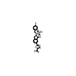 CCS(=O)(=O)N(Cc1ccc(F)cc1)N1Cc2ccc(-c3nnc(C(F)F)o3)cc2C1=O